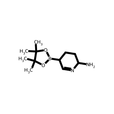 CC1(C)OB(C2C=NC(N)CC2)OC1(C)C